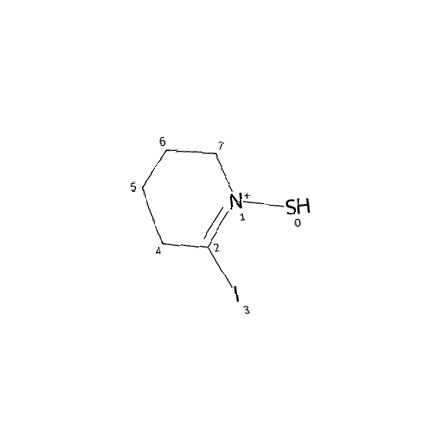 S[N+]1=C(I)CCCC1